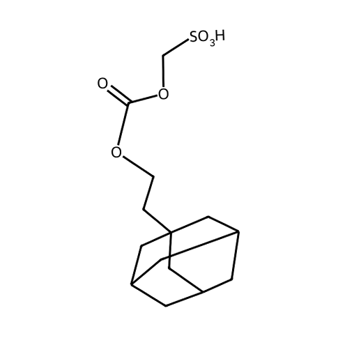 O=C(OCCC12CC3CC(CC(C3)C1)C2)OCS(=O)(=O)O